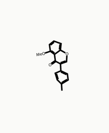 COc1cccc2occ(-c3ccc(C)cc3)c(=O)c12